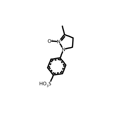 CC1=[N+]([O-])N(c2ccc(S(=O)(=O)O)cc2)CC1